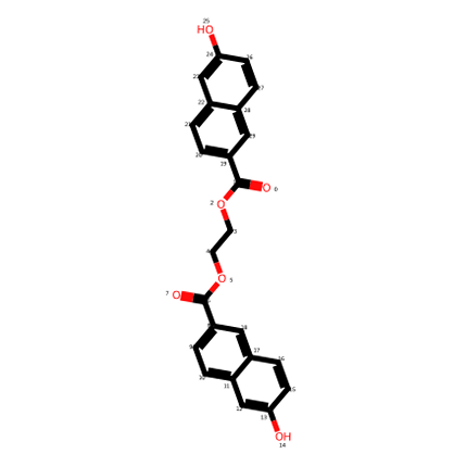 O=C(OCCOC(=O)c1ccc2cc(O)ccc2c1)c1ccc2cc(O)ccc2c1